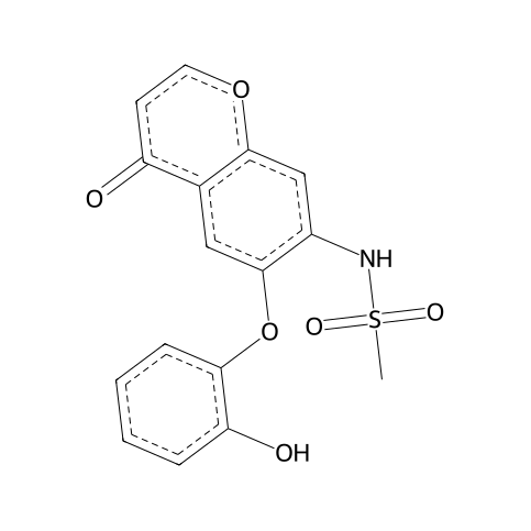 CS(=O)(=O)Nc1cc2occc(=O)c2cc1Oc1ccccc1O